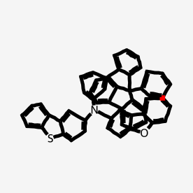 c1ccc(C2(c3ccccc3-c3cccc(N(c4ccc5oc6ccccc6c5c4)c4ccc5sc6ccccc6c5c4)c3)c3ccccc3-c3ccccc32)cc1